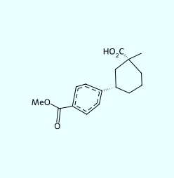 COC(=O)c1ccc([C@H]2CCC[C@@](C)(C(=O)O)C2)cc1